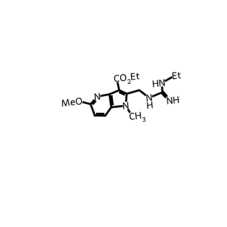 CCNC(=N)NCc1c(C(=O)OCC)c2nc(OC)ccc2n1C